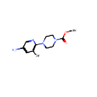 CC(C)(C)OC(=O)N1CCN(c2ncc(N)cc2C#N)CC1